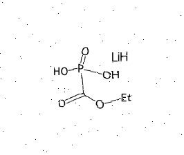 CCOC(=O)P(=O)(O)O.[LiH]